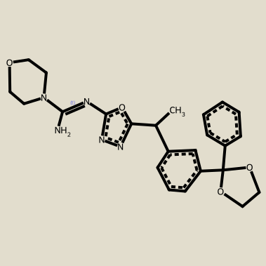 CC(c1cccc(C2(c3ccccc3)OCCO2)c1)c1nnc(/N=C(\N)N2CCOCC2)o1